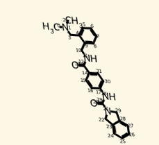 CN(C)Cc1ccccc1CNC(=O)c1ccc(NC(=O)N2Cc3ccccc3C2)cc1